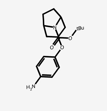 CC(C)(C)OC(=O)N1C2CCC1CC(Oc1ccc(N)cc1)C2